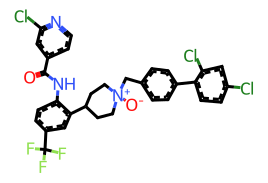 O=C(Nc1ccc(C(F)(F)F)cc1C1CC[N+]([O-])(Cc2ccc(-c3ccc(Cl)cc3Cl)cc2)CC1)c1ccnc(Cl)c1